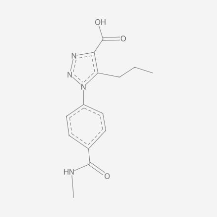 CCCc1c(C(=O)O)nnn1-c1ccc(C(=O)NC)cc1